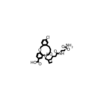 NS(=O)(=O)CCNC(=O)C[C@H](O)[C@@H]1CCC1CN1CCCCc2cc(Cl)ccc2COc2ccc(C(=O)O)cc21